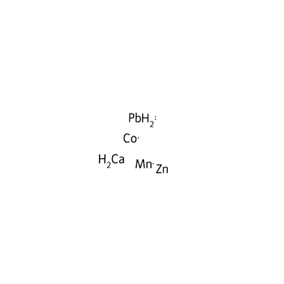 [CaH2].[Co].[Mn].[PbH2].[Zn]